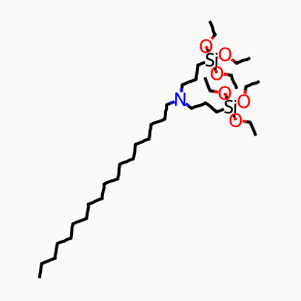 CCCCCCCCCCCCCCCCCCN(CCC[Si](OCC)(OCC)OCC)CCC[Si](OCC)(OCC)OCC